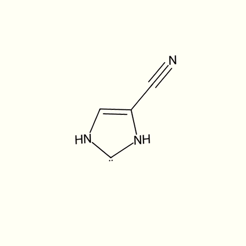 N#CC1=CN[C]N1